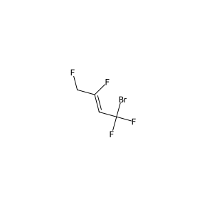 FCC(F)=CC(F)(F)Br